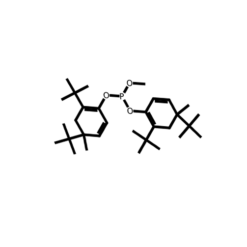 COP(OC1=C(C(C)(C)C)CC(C)(C(C)(C)C)C=C1)OC1=C(C(C)(C)C)CC(C)(C(C)(C)C)C=C1